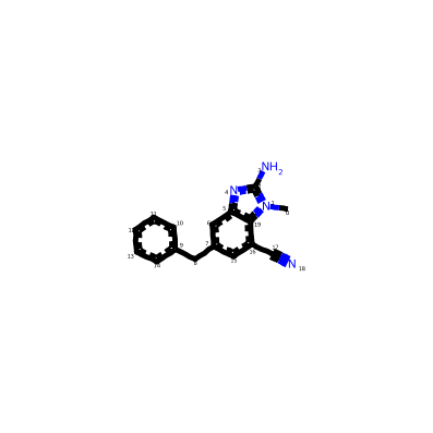 Cn1c(N)nc2cc(Cc3ccccc3)cc(C#N)c21